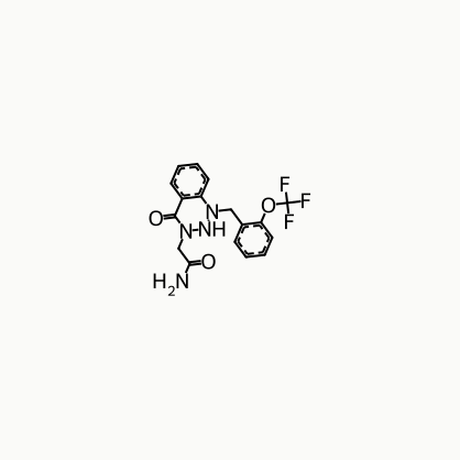 NC(=O)CN1NN(Cc2ccccc2OC(F)(F)F)c2ccccc2C1=O